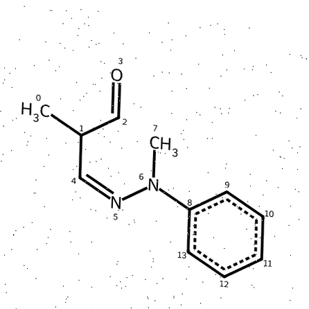 CC(C=O)/C=N\N(C)c1ccccc1